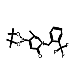 Cc1cn(Cc2ccccc2C(F)(F)F)c(=O)cc1B1OC(C)(C)C(C)(C)O1